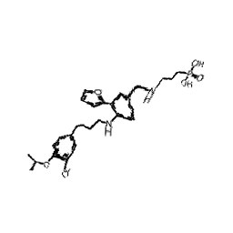 CC(C)Oc1ccc(CCCNc2ccc(CNCCCP(=O)(O)O)cc2-c2ccco2)cc1Cl